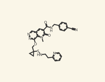 Cn1c(=O)c(C(=O)NCc2ccc(C#N)cc2)cc2cnnc(OCC3(SNCCc4ccccn4)CC3)c21